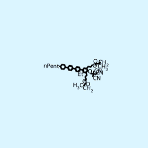 C=C(C)C(=O)OCCCc1cc(-c2ccc(-c3ccc(C4CCC(CCCCC)CC4)cc3)cc2CC)cc(CCCOC(=O)C(=C)C)c1OCC(CC#N)(CC#N)CC#N